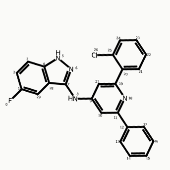 Fc1ccc2[nH]nc(Nc3cc(-c4ccccc4)nc(-c4ccccc4Cl)c3)c2c1